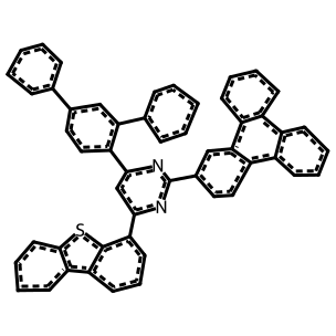 c1ccc(-c2ccc(-c3cc(-c4cccc5c4sc4ccccc45)nc(-c4ccc5c6ccccc6c6ccccc6c5c4)n3)c(-c3ccccc3)c2)cc1